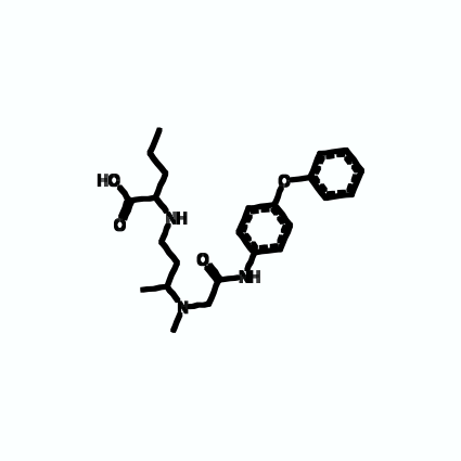 CCCC(NCCC(C)N(C)CC(=O)Nc1ccc(Oc2ccccc2)cc1)C(=O)O